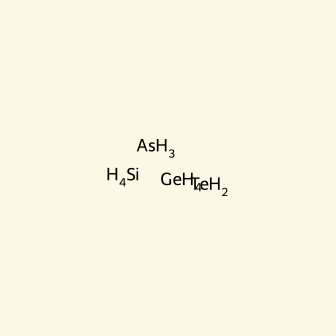 [AsH3].[GeH4].[SiH4].[TeH2]